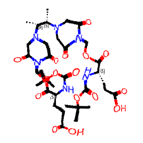 C[C@H]([C@H](C)N1CC(=O)N(COC(=O)[C@H](CCC(=O)O)NC(=O)OC(C)(C)C)C(=O)C1)N1CC(=O)N(COC(=O)[C@H](CCC(=O)O)NC(=O)OC(C)(C)C)C(=O)C1